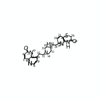 Cn1c(=O)ccc2nccc(CCN3CCC(NCc4ccc5c(n4)NC(=O)CS5)CC3)c21